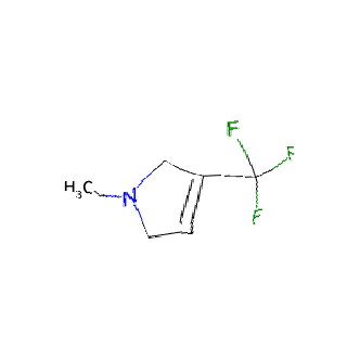 CN1CC=C(C(F)(F)F)C1